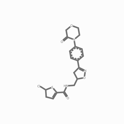 O=C(NCC1CC(c2ccc(N3CCOCC3=O)cc2)=NO1)C1=CCC(Cl)S1